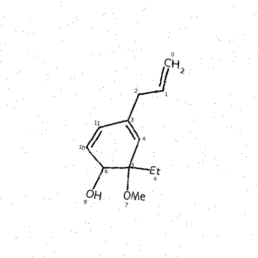 C=CCC1=CC(CC)(OC)C(O)C=C1